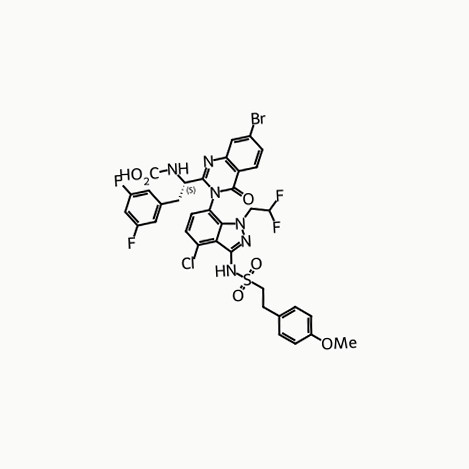 COc1ccc(CCS(=O)(=O)Nc2nn(CC(F)F)c3c(-n4c([C@H](Cc5cc(F)cc(F)c5)NC(=O)O)nc5cc(Br)ccc5c4=O)ccc(Cl)c23)cc1